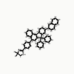 CC1(C)CSC(c2ccc(-c3cc4c(c5ccccc35)-c3ccc(-c5ccc6ccccc6c5)cc3C4(c3ccccc3)c3ccccc3)cc2)=N1